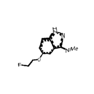 CNc1n[nH]c2ccc(OCCF)cc12